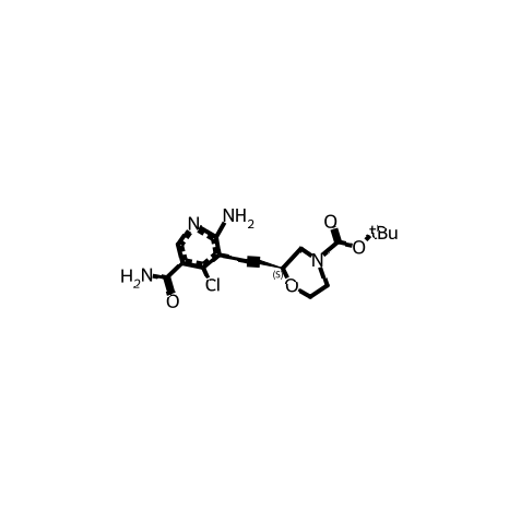 CC(C)(C)OC(=O)N1CCO[C@@H](C#Cc2c(N)ncc(C(N)=O)c2Cl)C1